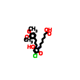 COc1ccc(CCCC2(O)C=C(Cl)C(=O)/C2=C/CCCCCC(=O)O)cc1OC